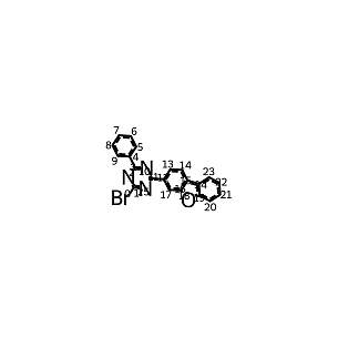 Brc1nc(-c2ccccc2)nc(-c2ccc3c(c2)oc2ccccc23)n1